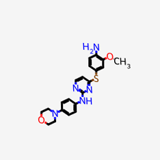 COc1cc(Sc2ccnc(Nc3ccc(N4CCOCC4)cc3)n2)ccc1N